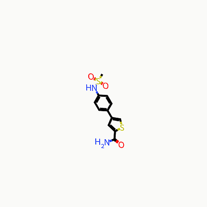 CS(=O)(=O)Nc1ccc(-c2csc(C(N)=O)c2)cc1